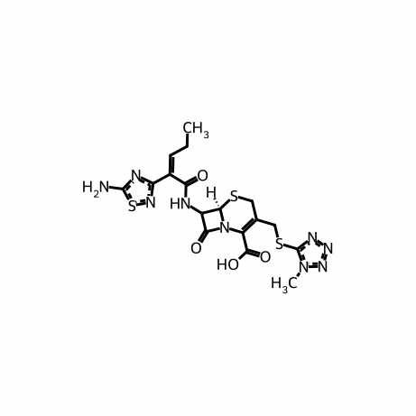 CC/C=C(\C(=O)NC1C(=O)N2C(C(=O)O)=C(CSc3nnnn3C)CS[C@H]12)c1nsc(N)n1